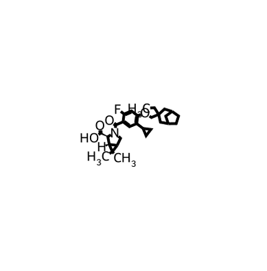 CCC1(COc2cc(F)c(C(=O)N3CC4[C@@H]([C@H]3C(=O)O)C4(C)C)cc2C2CC2)CC2CCC(C2)C1